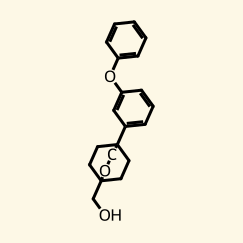 OCC12CCC(c3cccc(Oc4ccccc4)c3)(CC1)CO2